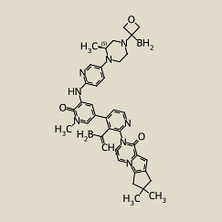 BC(=C)c1c(-c2cc(Nc3ccc(N4CCN(C5(B)COC5)C[C@@H]4C)cn3)c(=O)n(C)c2)ccnc1-n1ccn2c3c(cc2c1=O)CC(C)(C)C3